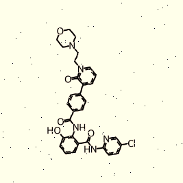 O=C(Nc1c(O)cccc1C(=O)Nc1ccc(Cl)cn1)c1ccc(-c2cccn(CCN3CCOCC3)c2=O)cc1